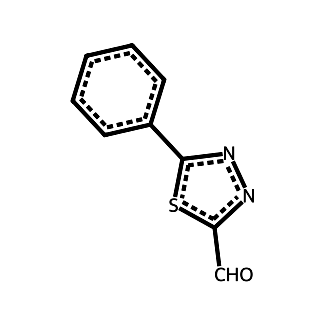 O=Cc1nnc(-c2ccccc2)s1